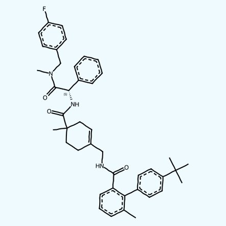 Cc1cccc(C(=O)NCC2=CCC(C)(C(=O)N[C@H](C(=O)N(C)Cc3ccc(F)cc3)c3ccccc3)CC2)c1-c1ccc(C(C)(C)C)cc1